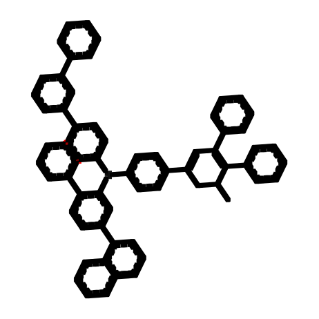 CC1CC(c2ccc(N(c3ccc(-c4cccc(-c5ccccc5)c4)cc3)c3cc(-c4cccc5ccccc45)ccc3-c3ccccc3)cc2)=CC(c2ccccc2)=C1c1ccccc1